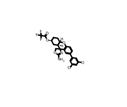 NC1=NC2(CO1)c1cc(-c3cc(Cl)cc(Cl)c3)ccc1O[C@H]1CC[C@H](OC(=O)C(F)(F)F)C[C@@H]12